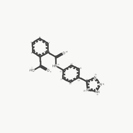 O=C(O)c1ccccc1C(=O)Nc1ccc(-c2nn[nH]n2)cc1